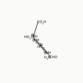 N[C@H]([C]=O)CCCCNC(=O)COCCOCCNC(=O)COCCOCCNC(=O)CC[C@H](NC(=O)CCCCCCCCCCCCCCC(=O)O)C(=O)O